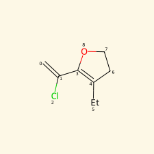 C=C(Cl)C1=C(CC)CCO1